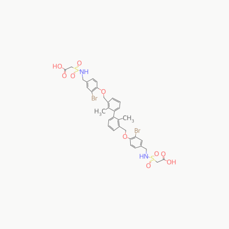 Cc1c(COc2ccc(CNS(=O)(=O)CC(=O)O)cc2Br)cccc1-c1cccc(COc2ccc(CNS(=O)(=O)CC(=O)O)cc2Br)c1C